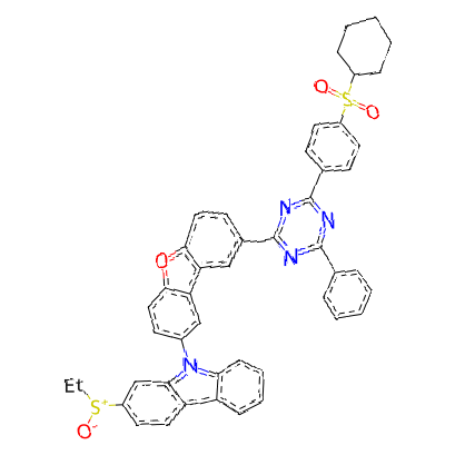 CC[S+]([O-])c1ccc2c3ccccc3n(-c3ccc4oc5ccc(-c6nc(-c7ccccc7)nc(-c7ccc(S(=O)(=O)C8CCCCC8)cc7)n6)cc5c4c3)c2c1